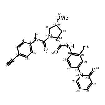 C#Cc1ccc(NC(=O)N2C[C@H](OC)C[C@@H]2C(=O)Nc2ccc(-n3ccccc3=O)cc2F)cc1